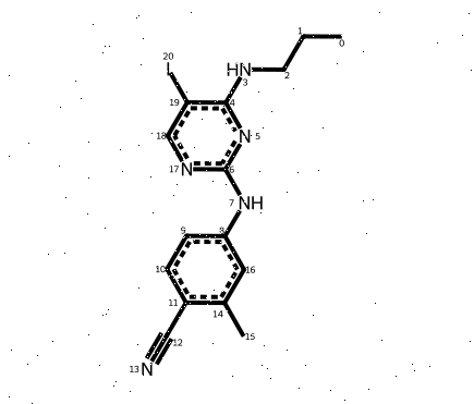 CCCNc1nc(Nc2ccc(C#N)c(C)c2)ncc1I